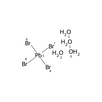 O.O.O.O.[Br][Pb]([Br])([Br])[Br]